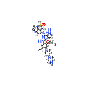 C=Cc1cc(Nc2nc(Nc3ccc4nccnc4c3N(C)S(C)(=O)=O)c3[nH]ccc3n2)c(OC(F)(F)F)cc1N1CCC(N2CCN(C)CC2)CC1